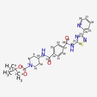 CC(C)(C)OC(=O)N1CCC(NC(=O)c2ccc(C(=O)Nc3nc(-c4ccccn4)ns3)cc2)CC1